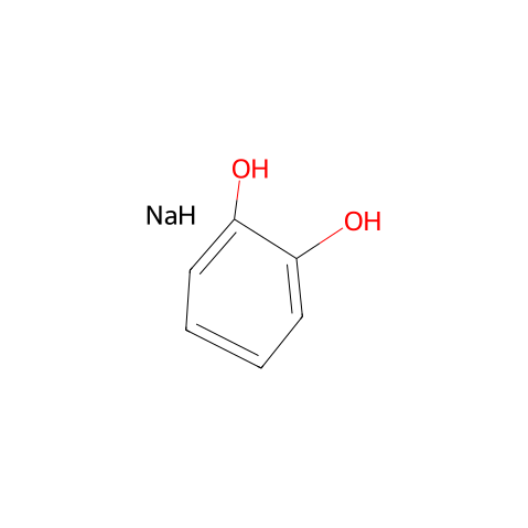 Oc1ccccc1O.[NaH]